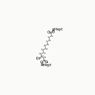 CCCCCCCOC(=O)CCCCCCCCCCC(CC)CC(=O)OCCCCCCC